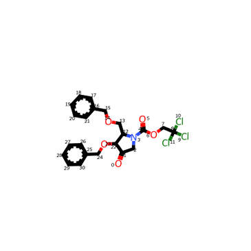 O=C1CN(C(=O)OCC(Cl)(Cl)Cl)C(COCc2ccccc2)C1OCc1ccccc1